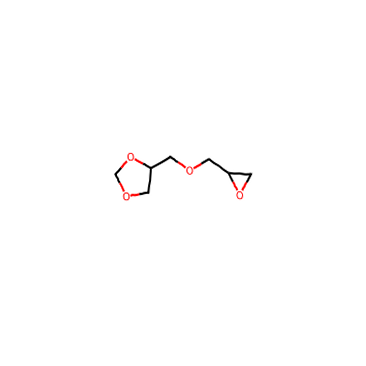 C1OCC(COCC2CO2)O1